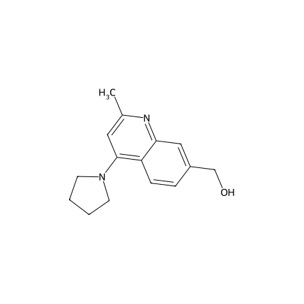 Cc1cc(N2CCCC2)c2ccc(CO)cc2n1